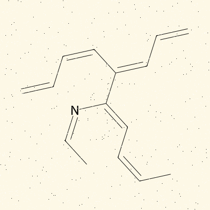 C=C\C=C/C(=C\C=C)C(=C/C=C\C)/N=C\C